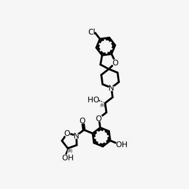 O=C(c1ccc(O)cc1OC[C@H](O)CN1CCC2(CC1)Cc1cc(Cl)ccc1O2)N1C[C@@H](O)CO1